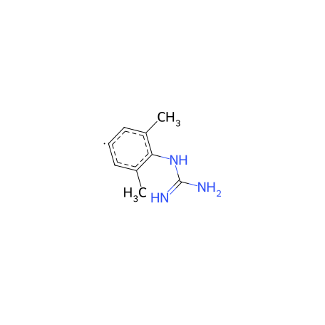 Cc1c[c]cc(C)c1NC(=N)N